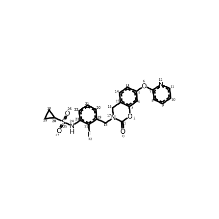 O=C1Oc2cc(Oc3ccccn3)ccc2CN1Cc1cccc(NS(=O)(=O)C2CC2)c1F